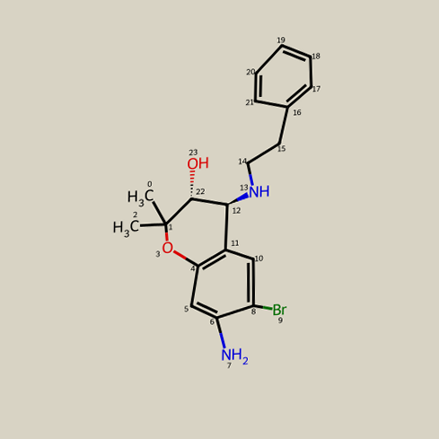 CC1(C)Oc2cc(N)c(Br)cc2[C@H](NCCc2ccccc2)[C@H]1O